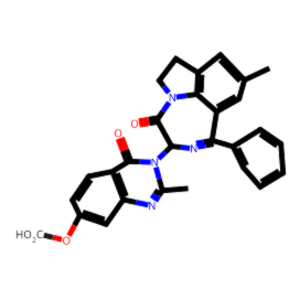 Cc1cc2c3c(c1)C(c1ccccc1)=NC(n1c(C)nc4cc(OC(=O)O)ccc4c1=O)C(=O)N3CC2